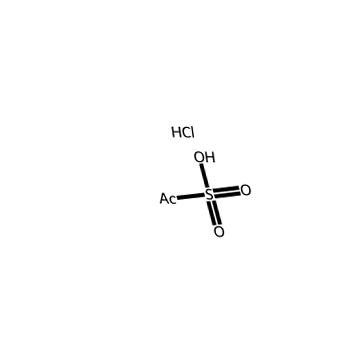 CC(=O)S(=O)(=O)O.Cl